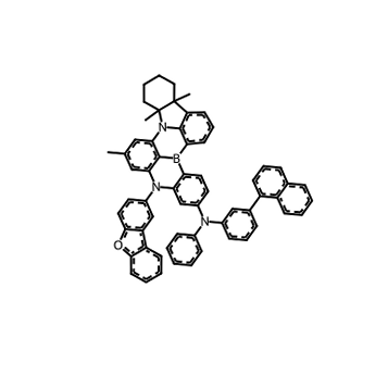 Cc1cc2c3c(c1)N1c4c(cccc4C4(C)CCCCC14C)B3c1ccc(N(c3ccccc3)c3cccc(-c4cccc5ccccc45)c3)cc1N2c1ccc2oc3ccccc3c2c1